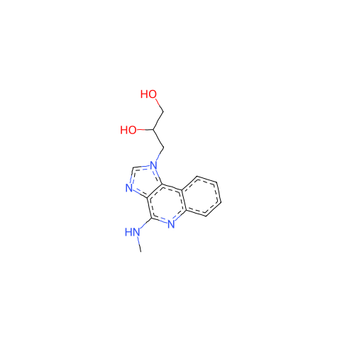 CNc1nc2ccccc2c2c1ncn2CC(O)CO